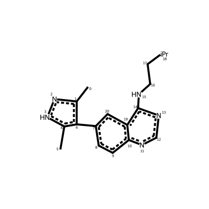 Cc1n[nH]c(C)c1-c1ccc2ncnc(NCCC(C)C)c2c1